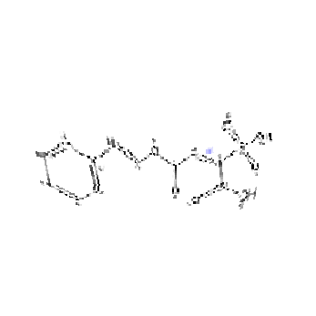 O=C(/C=C(\C(=O)O)S(=O)(=O)O)OC=Cc1ccccc1